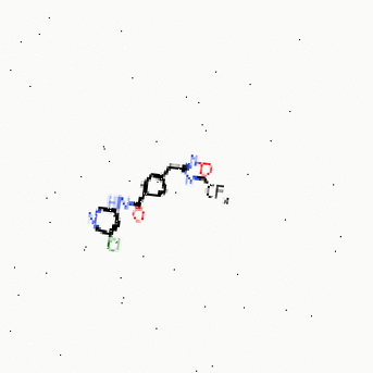 O=C(Nc1cncc(Cl)c1)c1ccc(Cc2noc(C(F)(F)F)n2)cc1